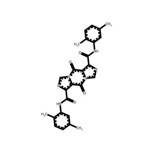 Cc1ccc(C)c(NC(=O)c2ncn3c(=O)c4c(C(=O)Nc5cc(C)ccc5C)ncn4c(=O)c23)c1